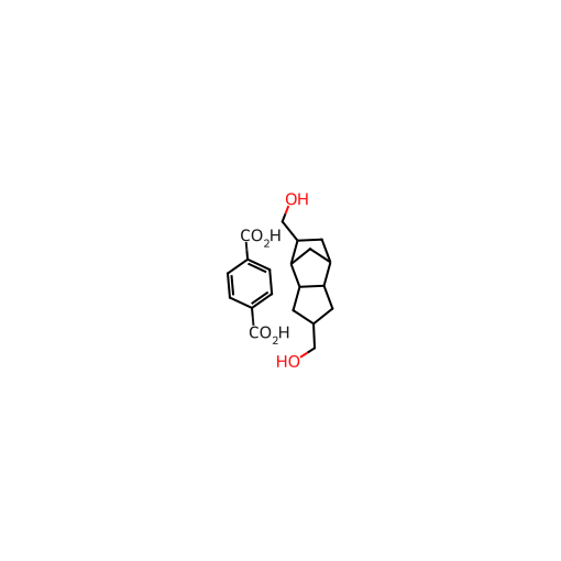 O=C(O)c1ccc(C(=O)O)cc1.OCC1CC2C3CC(CO)C(C3)C2C1